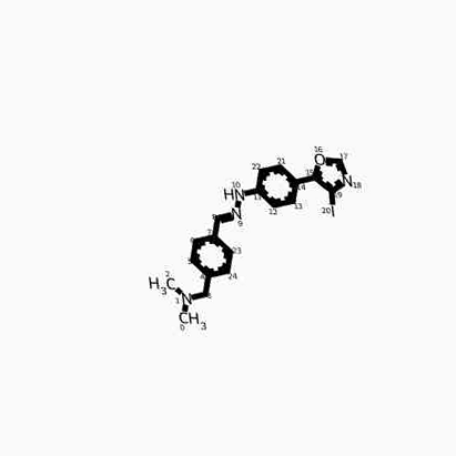 CN(C)Cc1ccc(/C=N/Nc2ccc(-c3ocnc3I)cc2)cc1